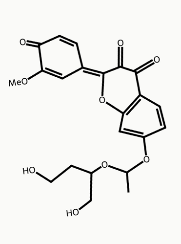 COC1=C/C(=C2\Oc3cc(OC(C)OC(CO)CCO)ccc3C(=O)C2=O)C=CC1=O